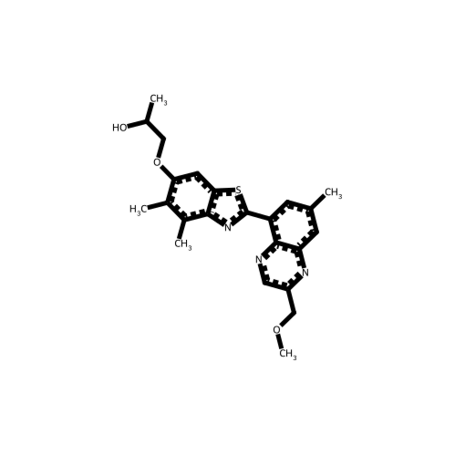 COCc1cnc2c(-c3nc4c(C)c(C)c(OCC(C)O)cc4s3)cc(C)cc2n1